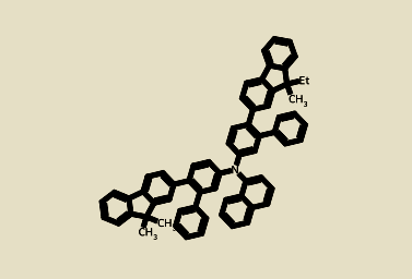 CCC1(C)c2ccccc2-c2ccc(-c3ccc(N(c4ccc(-c5ccc6c(c5)C(C)(C)c5ccccc5-6)c(-c5ccccc5)c4)c4cccc5ccccc45)cc3-c3ccccc3)cc21